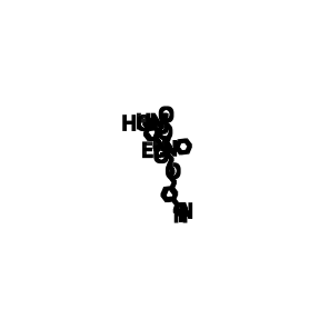 CCN(c1ccc(O)c2c1OCC(=O)N2)C(C)N(C(=O)CCOCCc1cccc(-c2cnn(C)c2)c1)C1CCCCC1